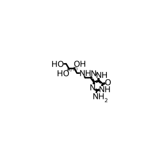 Nc1nc2c(CNC[C@H](O)[C@H](O)CO)n[nH]c2c(=O)[nH]1